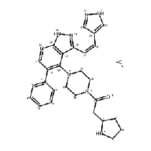 Cl.O=C(CC1CCCN1)N1CCN(c2c(-c3ccccc3)cnc3[nH]nc(/C=C\c4cn[nH]c4)c23)CC1